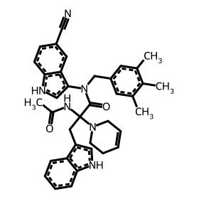 CC(=O)NC(Cc1c[nH]c2ccccc12)(C(=O)N(Cc1cc(C)c(C)c(C)c1)c1c[nH]c2ccc(C#N)cc12)N1CC=CCC1